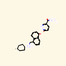 CC(C)(C)[C@H]1CC[C@H](NCc2cccc3c(Oc4ccc(C(N)=O)cn4)cccc23)CC1